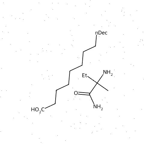 CCC(C)(N)C(N)=O.CCCCCCCCCCCCCCCCCC(=O)O